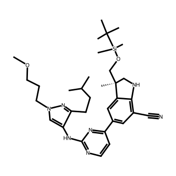 COCCCn1cc(Nc2nccc(-c3cc(C#N)c4c(c3)[C@@](C)(CO[Si](C)(C)C(C)(C)C)CN4)n2)c(CCC(C)C)n1